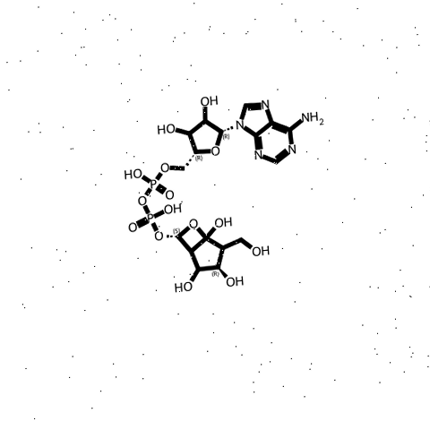 Nc1ncnc2c1ncn2[C@@H]1O[C@H](COP(=O)(O)OP(=O)(O)O[C@@H]2OC3(O)C2C(O)[C@H](O)C3CO)C(O)C1O